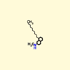 CCCCCCCCCCc1cccc2ccc(NC)cc12